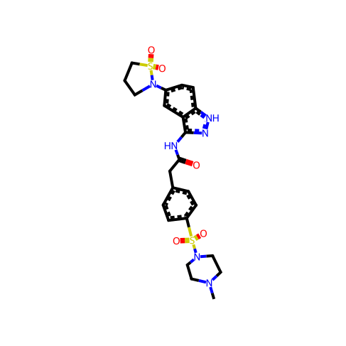 CN1CCN(S(=O)(=O)c2ccc(CC(=O)Nc3n[nH]c4ccc(N5CCCS5(=O)=O)cc34)cc2)CC1